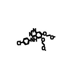 COCCOc1cc2ncnc(Nc3ccc(Cl)cc3)c2cc1OCCOC